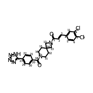 O=C(C=Cc1ccc(Cl)c(Cl)c1)N1CC2(CCN(C(=O)c3ccc(-c4nnn[nH]4)cc3)CC2)C1